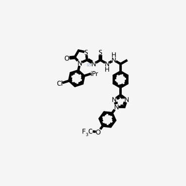 CC(C)c1ccc(Cl)cc1N1C(=O)CS/C1=N\C(=S)NNC(C)c1ccc(-c2ncn(-c3ccc(OC(F)(F)F)cc3)n2)cc1